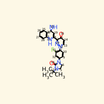 CC(C)(C)N1CCN(c2ccc(-n3ccc(=O)c(/C(=C/C=N)Nc4ccccc4)n3)c(F)c2)C1=O